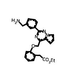 CCOC(=O)Cc1ccccc1OCc1nc(-c2cccc(CN)c2)nn2cccc12